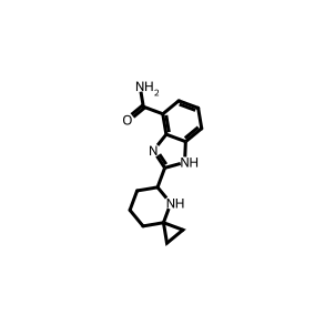 NC(=O)c1cccc2[nH]c(C3CCCC4(CC4)N3)nc12